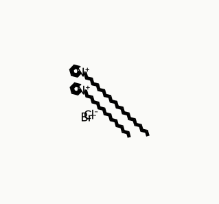 CCCCCCCCCCCCCCCCCCCCCC[n+]1ccccc1.CCCCCCCCCCCCCCCC[n+]1ccccc1.[Br-].[Cl-]